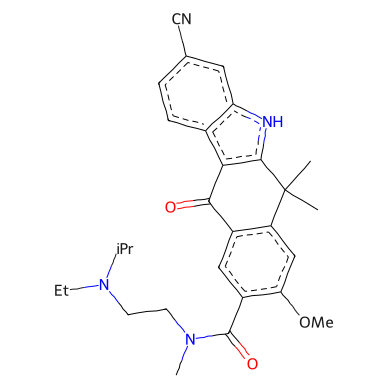 CCN(CCN(C)C(=O)c1cc2c(cc1OC)C(C)(C)c1[nH]c3cc(C#N)ccc3c1C2=O)C(C)C